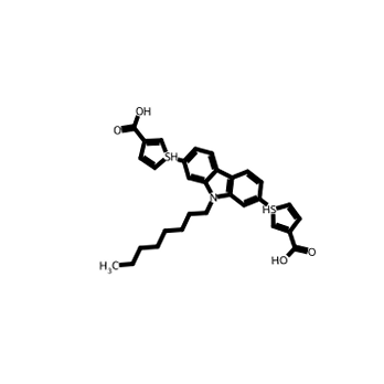 CCCCCCCCn1c2cc([SH]3C=CC(C(=O)O)=C3)ccc2c2ccc([SH]3C=CC(C(=O)O)=C3)cc21